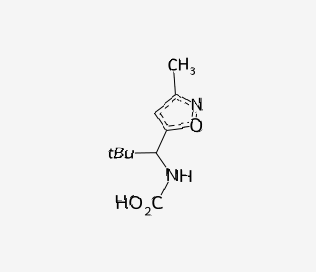 Cc1cc(C(NC(=O)O)C(C)(C)C)on1